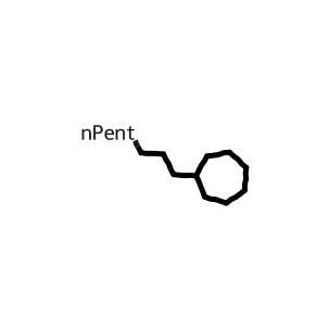 CCCCCCCCC1CCCCCC1